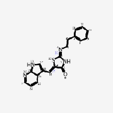 O=C1N/C(=N\CCc2ccccc2)S/C1=C\C1=CNC2N=CC=CC12